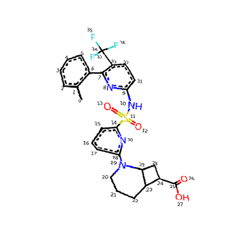 Cc1ccccc1-c1nc(NS(=O)(=O)c2cccc(N3CCCC4C(C(=O)O)CC43)n2)ccc1C(F)(F)F